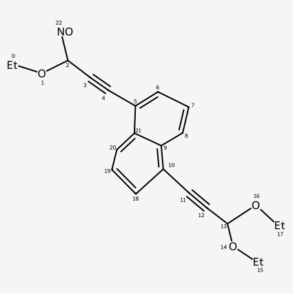 CCOC(C#Cc1cccc2c(C#CC(OCC)OCC)cccc12)N=O